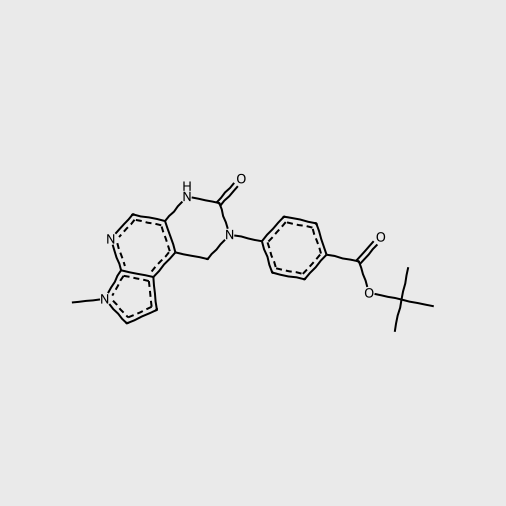 Cn1ccc2c3c(cnc21)NC(=O)N(c1ccc(C(=O)OC(C)(C)C)cc1)C3